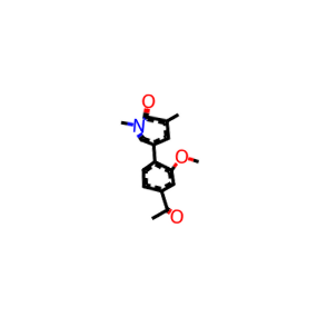 COc1cc(C(C)=O)ccc1-c1cc(C)c(=O)n(C)c1